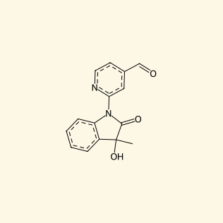 CC1(O)C(=O)N(c2cc(C=O)ccn2)c2ccccc21